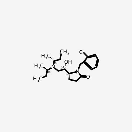 CC[C@@H](C)N(C[C@H](O)[C@@H]1CCC(=O)N1Cc1ccccc1Cl)[C@H](C)CC